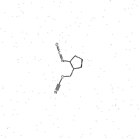 N#COCC1CCCC1N=C=O